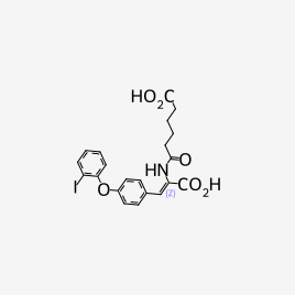 O=C(O)CCCCC(=O)N/C(=C\c1ccc(Oc2ccccc2I)cc1)C(=O)O